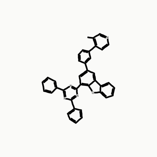 Cc1cnccc1-c1cccc(-c2cc(-c3nc(-c4ccccc4)nc(-c4ccccc4)n3)c3oc4ccccc4c3c2)c1